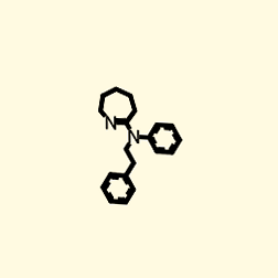 c1ccc(CCN(C2=NCCCCC2)c2ccccc2)cc1